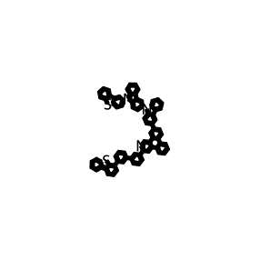 c1cc(-c2cccc(-c3cccc4c3sc3ccccc34)c2)cc(-c2cc3c4ccccc4c4ccc(-c5ccc6c(c5)c5ccccc5n6-c5ccc6c(c5)c5ccccc5n6-c5ccc6sc7ccccc7c6c5)cc4c3cn2)c1